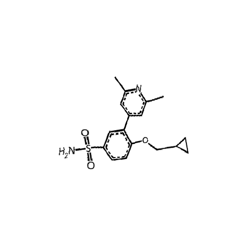 Cc1cc(-c2cc(S(N)(=O)=O)ccc2OCC2CC2)cc(C)n1